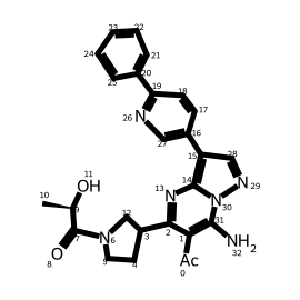 CC(=O)c1c(C2CCN(C(=O)[C@@H](C)O)C2)nc2c(-c3ccc(-c4ccccc4)nc3)cnn2c1N